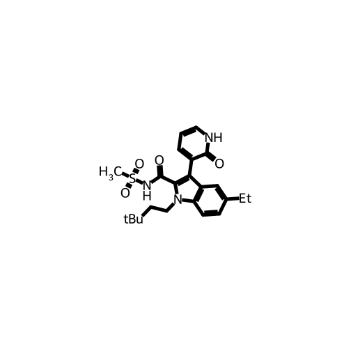 CCc1ccc2c(c1)c(-c1ccc[nH]c1=O)c(C(=O)NS(C)(=O)=O)n2CCC(C)(C)C